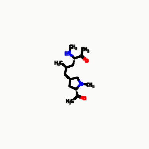 CN[C@@H](CC(C)CC1C[C@@H](C(C)=O)N(C)C1)C(C)=O